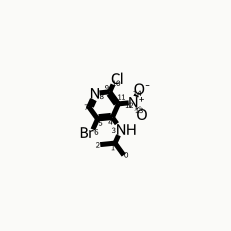 CC(C)Nc1c(Br)cnc(Cl)c1[N+](=O)[O-]